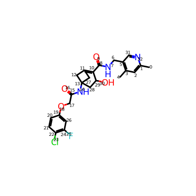 Cc1cc(C)c(CNC(=O)C2=C3CC(NC(=O)COc4ccc(Cl)c(F)c4)(C3)CC2O)cn1